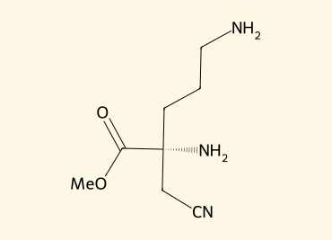 COC(=O)[C@](N)(CC#N)CCCN